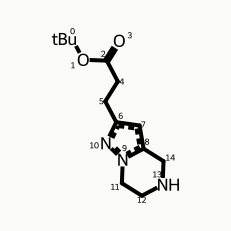 CC(C)(C)OC(=O)CCc1cc2n(n1)CCNC2